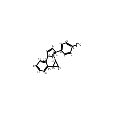 Fc1ccc(C2=[N+]3C(C=C2)c2ccccc2C2CC23)cc1